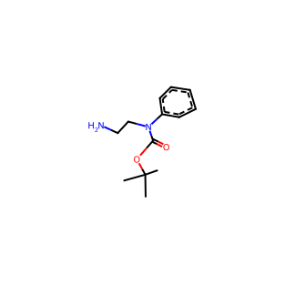 CC(C)(C)OC(=O)N(CCN)c1ccccc1